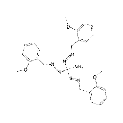 COc1ccccc1CN=NC([SiH3])(N=NCc1ccccc1OC)N=NCc1ccccc1OC